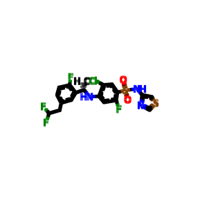 C[C@H](Nc1cc(F)c(S(=O)(=O)Nc2cscn2)cc1Cl)c1cc(CC(F)F)ccc1F